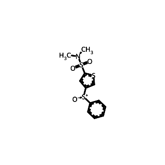 CN(C)S(=O)(=O)c1cc([S+]([O-])c2ccccc2)cs1